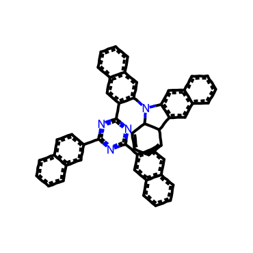 C1=CC2c3cc4ccccc4cc3N(c3cc4ccccc4cc3-c3nc(-c4ccc5ccccc5c4)nc(-c4ccc5ccccc5c4)n3)C2C=C1